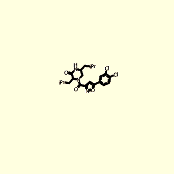 CC(C)CC1CN(C(=O)c2cc(-c3ccc(Cl)c(Cl)c3)on2)C(CC(C)C)C(=O)N1